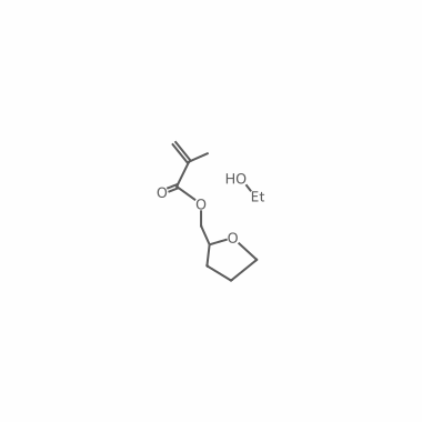 C=C(C)C(=O)OCC1CCCO1.CCO